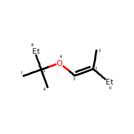 CCC(C)=COC(C)(C)CC